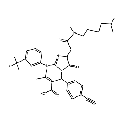 CC1=C(C(=O)O)C(c2ccc(C#N)cc2)n2c(nn(CC(=O)N(C)CCCCN(C)C)c2=O)N1c1cccc(C(F)(F)F)c1